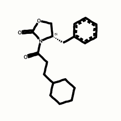 O=C(CCC1CCCCC1)N1C(=O)OC[C@@H]1Cc1ccccc1